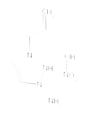 C=CCN1C=CN(N)N1.O=[N+]([O-])O